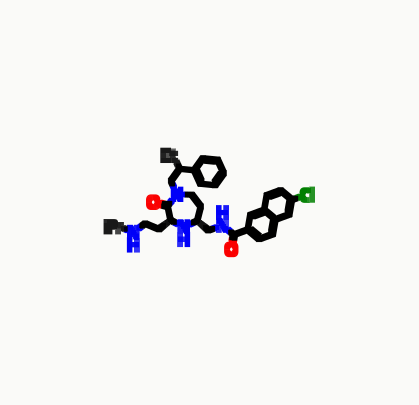 CCC(CN1CC[C@@H](CNC(=O)c2ccc3cc(Cl)ccc3c2)N[C@@H](CCNC(C)C)C1=O)c1ccccc1